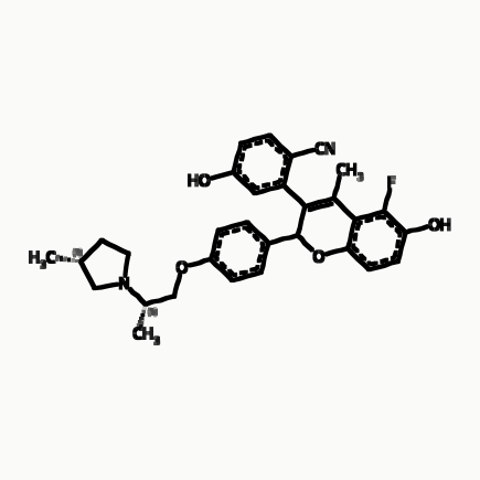 CC1=C(c2cc(O)ccc2C#N)C(c2ccc(OC[C@H](C)N3CC[C@@H](C)C3)cc2)Oc2ccc(O)c(F)c21